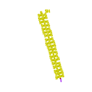 S=S(=S)(I)S(=S)(=S)S(=S)(=S)S(=S)(=S)S(=S)(=S)S(=S)(=S)S(=S)(=S)S(=S)(=S)S(=S)(=S)S(=S)(=S)S(=S)(=S)S(=S)(=S)S(=S)(=S)S(=S)(=S)S(=S)(=S)S(=S)(=S)S(=S)(=S)S(=S)(=S)S(=S)(=S)SS